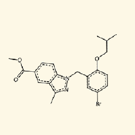 COC(=O)c1ccc2c(c1)c(C)nn2Cc1cc(Br)ccc1OCC(C)C